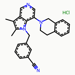 Cc1c(C)n(Cc2cccc(C#N)c2)c2c(N3CCc4ccccc4C3)cncc12.Cl